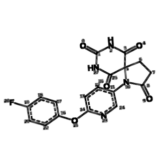 O=C1NC(=O)C2(CCC(=O)N2c2ccc(Oc3ccc(F)cc3)nc2)C(=O)N1